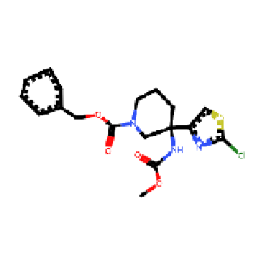 COC(=O)NC1(c2csc(Cl)n2)CCCN(C(=O)OCc2ccccc2)C1